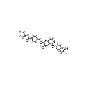 COc1cc2c(Oc3ccc4[nH]c(C)cc4c3)ncnc2cc1OCC1CCN(C(=O)CN2CCCC2)CC1